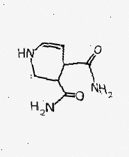 NC(=O)C1[C]NC=CC1C(N)=O